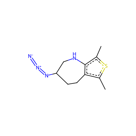 Cc1sc(C)c2c1CCC(N=[N+]=[N-])CN2